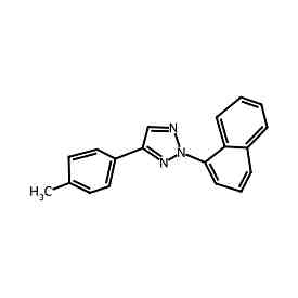 Cc1ccc(-c2cnn(-c3cccc4ccccc34)n2)cc1